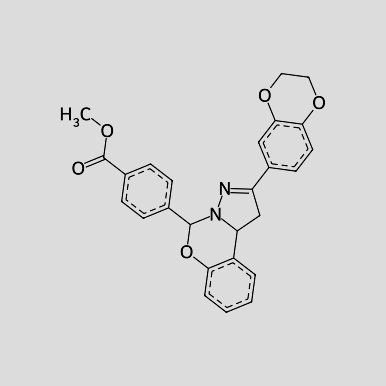 COC(=O)c1ccc(C2Oc3ccccc3C3CC(c4ccc5c(c4)OCCO5)=NN32)cc1